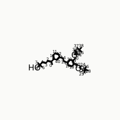 C/C(=C\C=C\C(C)(C)O)c1cccc(CCc2ccc(CO[Si](C)(C)C(C)(C)C)c(CO[Si](C)(C)C(C)(C)C)c2)c1